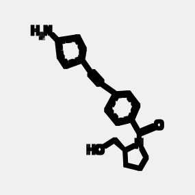 Nc1ccc(C#Cc2ccc(C(=O)N3CCC[C@H]3CO)cc2)cc1